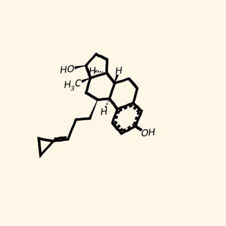 C[C@]12C[C@H](CCC=C3CC3)[C@@H]3c4ccc(O)cc4CC[C@H]3[C@@H]1CC[C@@H]2O